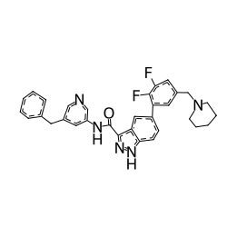 O=C(Nc1cncc(Cc2ccccc2)c1)c1n[nH]c2ccc(-c3cc(CN4CCCCC4)cc(F)c3F)cc12